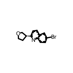 Brc1ccc2nc([C@H]3CCOC3)ccc2c1